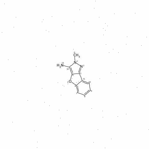 Cn1nc2c(oc3ccccc32)c1N